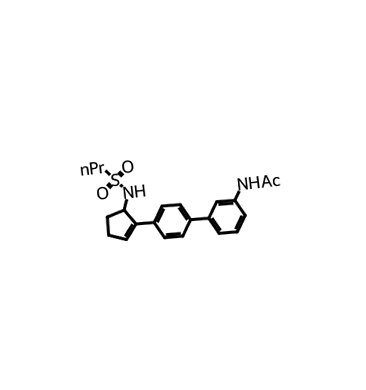 CCCS(=O)(=O)NC1CCC=C1c1ccc(-c2cccc(NC(C)=O)c2)cc1